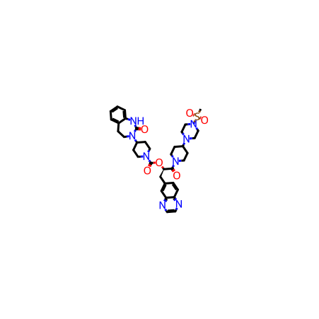 CS(=O)(=O)N1CCN(C2CCN(C(=O)[C@@H](Cc3ccc4nccnc4c3)OC(=O)N3CCC(N4CCc5ccccc5NC4=O)CC3)CC2)CC1